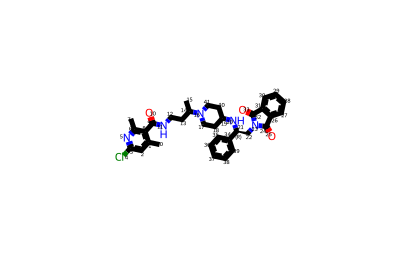 Cc1cc(Cl)nc(C)c1C(=O)NCCC(C)N1CCC(N[C@@H](CN2C(=O)c3ccccc3C2=O)c2ccccc2)CC1